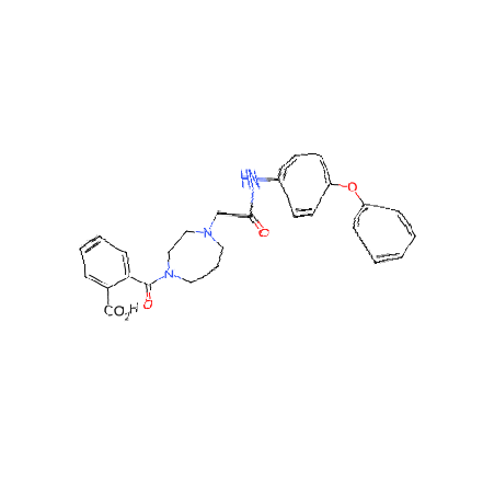 O=C(CN1CCCN(C(=O)c2ccccc2C(=O)O)CC1)Nc1ccc(Oc2ccccc2)cc1